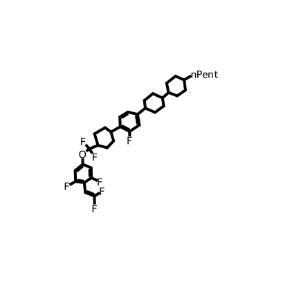 CCCCCC1CCC(C2CCC(c3ccc(C4CCC(C(F)(F)Oc5cc(F)c(C=C(F)F)c(F)c5)CC4)c(F)c3)CC2)CC1